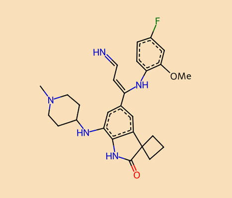 COc1cc(F)ccc1N/C(=C\C=N)c1cc(NC2CCN(C)CC2)c2c(c1)C1(CCC1)C(=O)N2